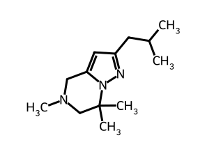 CC(C)Cc1cc2n(n1)C(C)(C)CN(C)C2